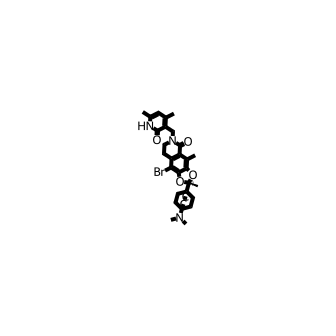 Cc1cc(C)c(CN2CCc3c(Br)c4c(c(C)c3C2=O)O[C@](C)(C23CCC(N(C)C)(CC2)CC3)O4)c(=O)[nH]1